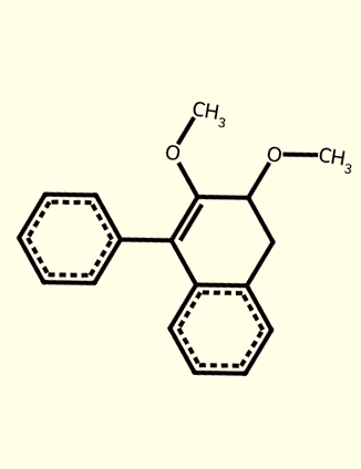 COC1=C(c2ccccc2)c2ccccc2CC1OC